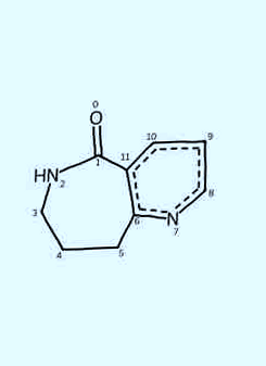 O=C1NCCCc2ncccc21